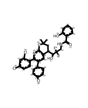 CC1(C)CC(C(O)C(F)(F)CNC(=O)c2ccccc2O)c2cc(-c3ccc(Cl)cc3)c(-c3ccc(Cl)cc3Cl)nc2O1